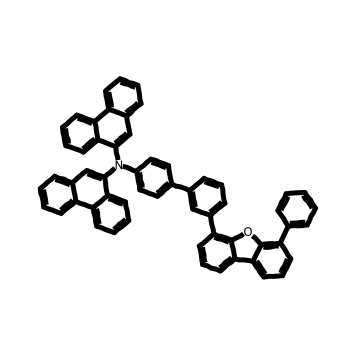 c1ccc(-c2cccc3c2oc2c(-c4cccc(-c5ccc(N(c6cc7ccccc7c7ccccc67)c6cc7ccccc7c7ccccc67)cc5)c4)cccc23)cc1